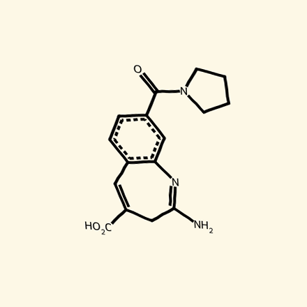 NC1=Nc2cc(C(=O)N3CCCC3)ccc2C=C(C(=O)O)C1